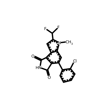 Cn1c(C(F)F)cc2c3c(c(-c4ccccc4Cl)cc21)C(=O)NC3=O